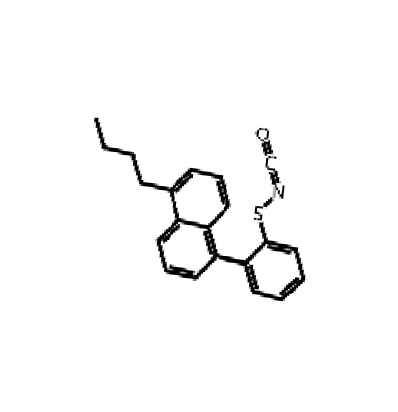 CCCCc1cccc2c(-c3ccccc3SN=C=O)cccc12